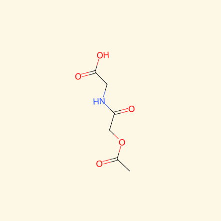 CC(=O)OCC(=O)NCC(=O)O